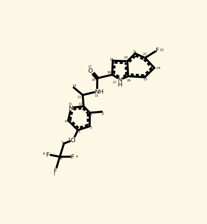 Cc1cc(OCC(F)(F)F)cnc1C(C)NC(=O)c1cc2cc(F)ccc2[nH]1